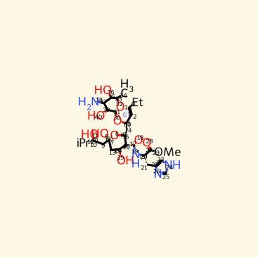 CC/C=C/[C@@H](C[C@@H]1O[C@](O)(C[C@@H](O)C(C)C)C[C@H](O)[C@H]1C(=O)N[C@@H](Cc1c[nH]cn1)C(=O)OC)OC1OC(C)C(O)C(N)C1O